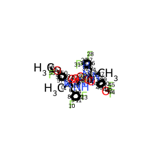 CCN(C(=O)[C@H](Cc1cc(F)cc(F)c1)NC(=O)NS(=O)(=O)N[C@@H](Cc1cc(F)cc(F)c1)C(=O)N(CC)c1ccc(OC(F)F)cc1)c1ccc(OC(C)F)cc1